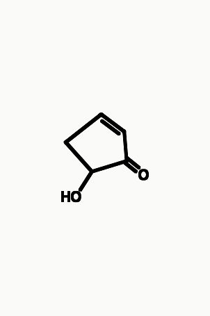 O=C1C=CCC1O